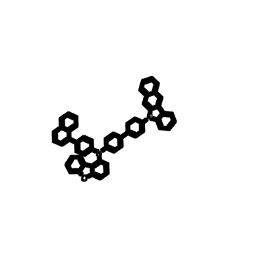 C1=C(c2ccc(N(c3ccc(-c4cccc5ccccc45)cc3)c3cccc4oc5ccccc5c34)cc2)CCC(n2c3ccccc3c3cc4ccccc4cc32)=C1